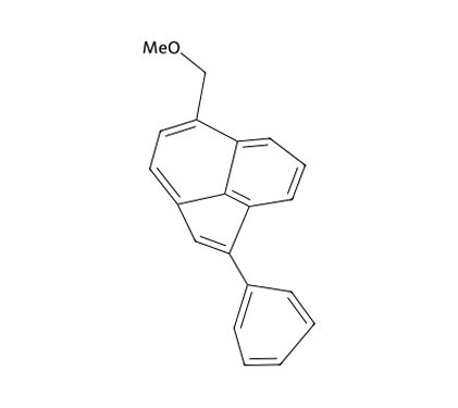 COCc1ccc2c3c(cccc13)C(c1ccccc1)=C2